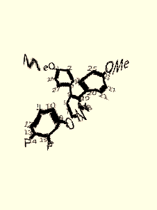 COc1ccc(-c2cc(Oc3cccc(F)c3F)nnc2-c2ccc(OC)cc2)cc1